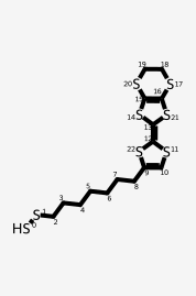 SSCCCCCCCC1=CSC(=C2SC3=C(SCCS3)S2)S1